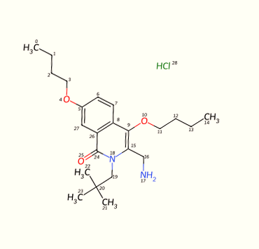 CCCCOc1ccc2c(OCCCC)c(CN)n(CC(C)(C)C)c(=O)c2c1.Cl